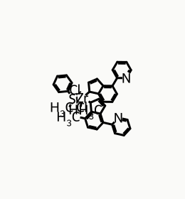 Cc1ccc(-c2ccccn2)c2c1[CH]([Zr]([Cl])([Cl])([CH]1C=Cc3c(-c4ccccn4)ccc(C)c31)[SiH](C)c1ccccc1)C=C2